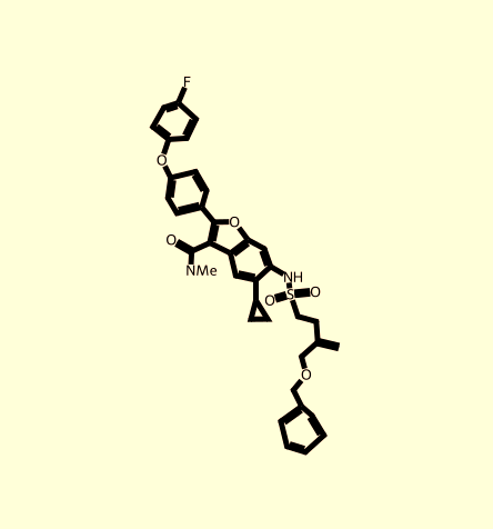 C=C(CCS(=O)(=O)Nc1cc2oc(-c3ccc(Oc4ccc(F)cc4)cc3)c(C(=O)NC)c2cc1C1CC1)COCc1ccccc1